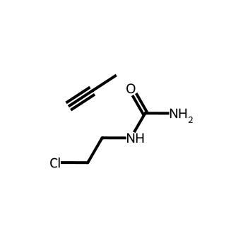 C#CC.NC(=O)NCCCl